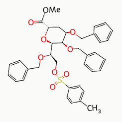 COC(=O)[C@@H]1C[C@@H](OCc2ccccc2)[C@@H](OCc2ccccc2)[C@@H]([C@@H](COS(=O)(=O)c2ccc(C)cc2)OCc2ccccc2)O1